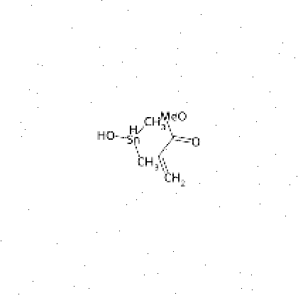 C=CC(=O)OC.[CH3][SnH]([CH3])[OH]